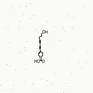 O=C(O)N1CC=C(C#CC#CCCCO)CC1